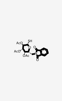 CC(=O)O[C@@H]1[C@@H](OC(C)=O)[C@H](S)O[C@H](CN2C(=O)c3ccccc3C2=O)[C@@H]1OC(C)=O